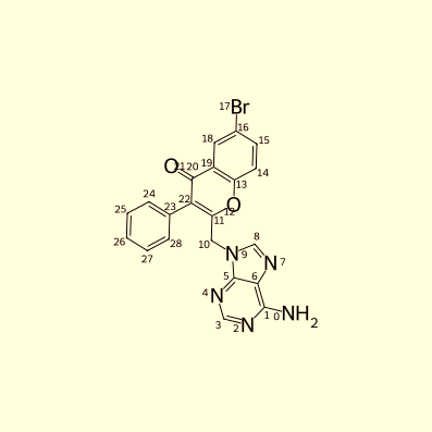 Nc1ncnc2c1ncn2Cc1oc2ccc(Br)cc2c(=O)c1-c1ccccc1